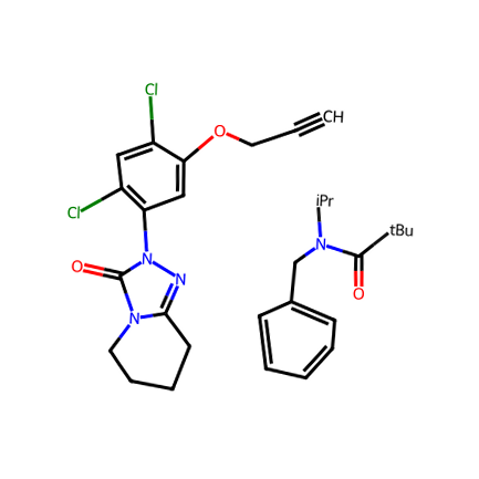 C#CCOc1cc(-n2nc3n(c2=O)CCCC3)c(Cl)cc1Cl.CC(C)N(Cc1ccccc1)C(=O)C(C)(C)C